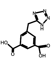 O=C(O)c1cc(Cc2nnn[nH]2)cc(C(=O)O)c1